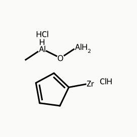 Cl.Cl.[CH3][AlH][O][AlH2].[Zr][C]1=CC=CC1